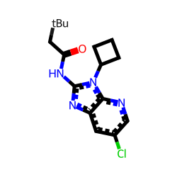 CC(C)(C)CC(=O)Nc1nc2cc(Cl)cnc2n1C1CCC1